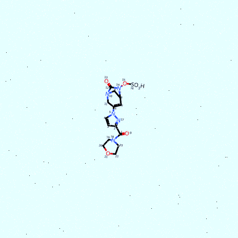 O=C(c1ccn(C2=CC3CN(C2)C(=O)N3OS(=O)(=O)O)n1)N1CCOCC1